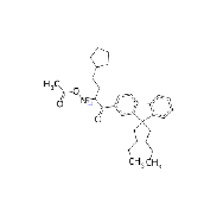 CCCCC1(CCCC)c2ccccc2-c2ccc(C(=O)/C(CCC3CCCC3)=N/OC(C)=O)cc21